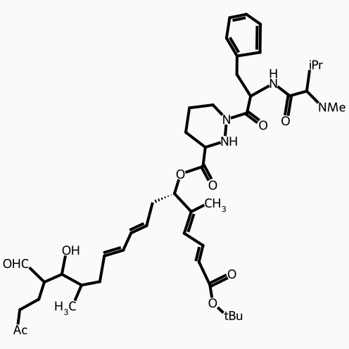 CNC(C(=O)NC(Cc1ccccc1)C(=O)N1CCCC(C(=O)O[C@@H](C/C=C/C=C/CC(C)C(O)C(C=O)CCC(C)=O)/C(C)=C/C=C/C(=O)OC(C)(C)C)N1)C(C)C